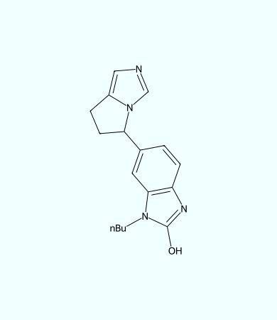 CCCCn1c(O)nc2ccc(C3CCc4cncn43)cc21